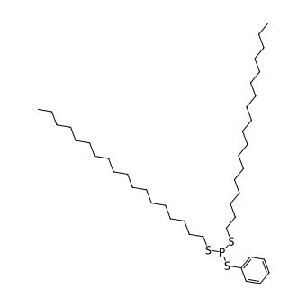 CCCCCCCCCCCCCCCCCCSP(SCCCCCCCCCCCCCCCCCC)Sc1ccccc1